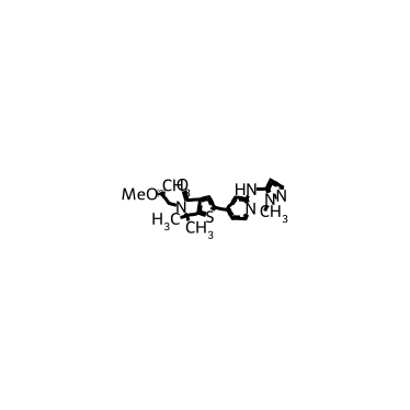 CO[C@@H](C)CN1C(=O)c2cc(-c3ccnc(Nc4ccnn4C)c3)sc2C1(C)C